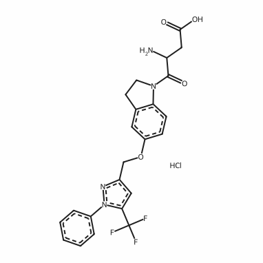 Cl.NC(CC(=O)O)C(=O)N1CCc2cc(OCc3cc(C(F)(F)F)n(-c4ccccc4)n3)ccc21